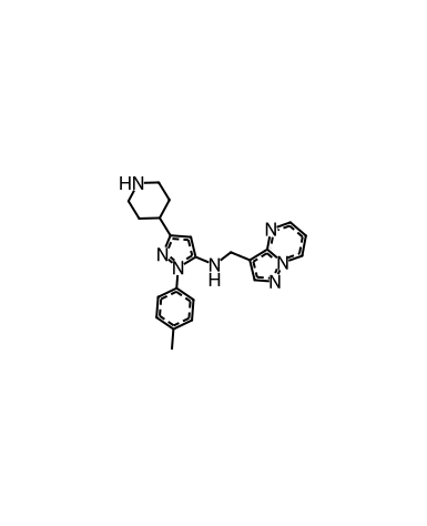 Cc1ccc(-n2nc(C3CCNCC3)cc2NCc2cnn3cccnc23)cc1